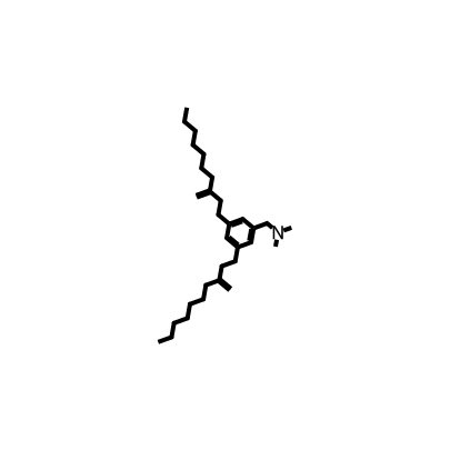 C=C(CCCCCCC)CCc1cc(CCC(=C)CCCCCCC)cc(CN(C)C)c1